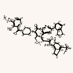 CCc1c(N2CCN(C(=O)c3ncnc(C)c3O)CC2)c(=O)n2nc(-c3cccc4c3COC4)nc2n1CC(=O)Nc1c(Cl)cc(C(F)(F)F)c2c1CC2